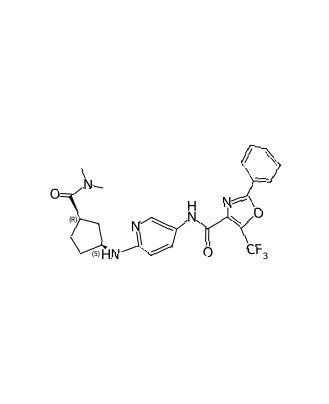 CN(C)C(=O)[C@@H]1CC[C@H](Nc2ccc(NC(=O)c3nc(-c4ccccc4)oc3C(F)(F)F)cn2)C1